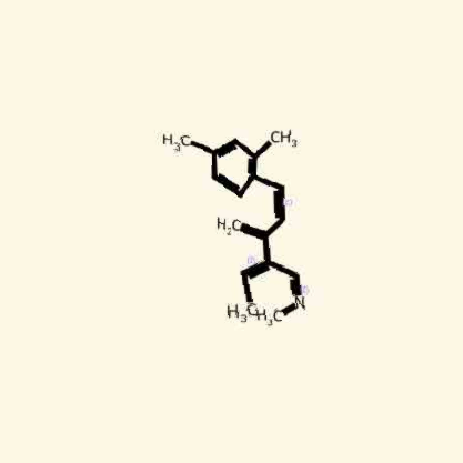 C=C(/C=C\c1ccc(C)cc1C)C(/C=N\C)=C/C